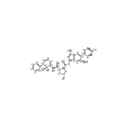 CC(=O)c1cn(CC(=O)N2C[C@H](F)C[C@H]2C(=O)NC2=CC=CC(c3ccccc3)C2(F)Cl)c2cc(O)c(-c3cnc(C)nc3)cc12